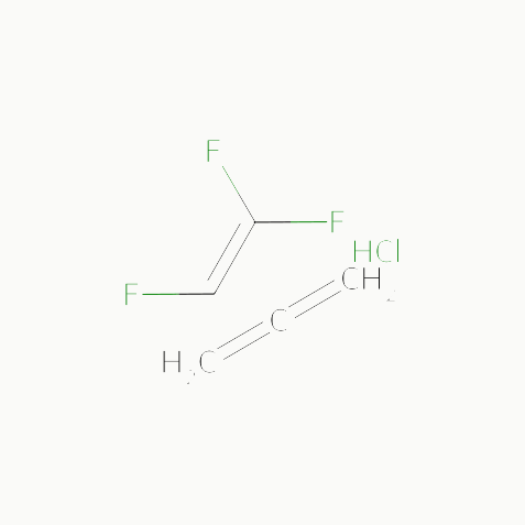 C=C=C.Cl.FC=C(F)F